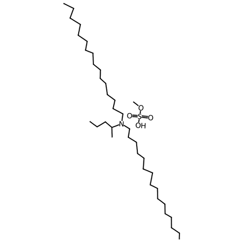 CCCCCCCCCCCCCCCCN(CCCCCCCCCCCCCCCC)C(C)CCC.COS(=O)(=O)O